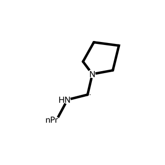 CCCN[CH]N1CCCC1